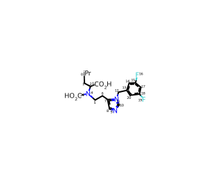 CC(C)CC(C(=O)O)N(CCc1cncn1Cc1cc(F)cc(F)c1)C(=O)O